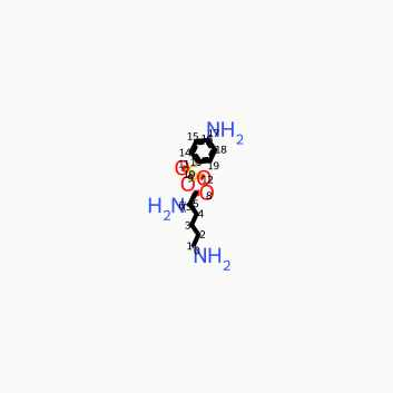 NCCCC[C@H](N)C(=O)OS(=O)(=O)c1ccc(N)cc1